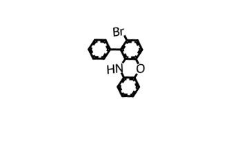 Brc1ccc2c(c1-c1ccccc1)Nc1ccccc1O2